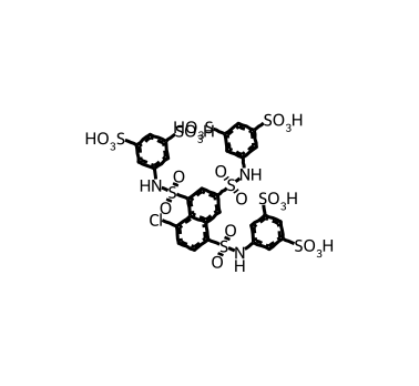 O=S(=O)(O)c1cc(NS(=O)(=O)c2cc(S(=O)(=O)Nc3cc(S(=O)(=O)O)cc(S(=O)(=O)O)c3)c3c(Cl)ccc(S(=O)(=O)Nc4cc(S(=O)(=O)O)cc(S(=O)(=O)O)c4)c3c2)cc(S(=O)(=O)O)c1